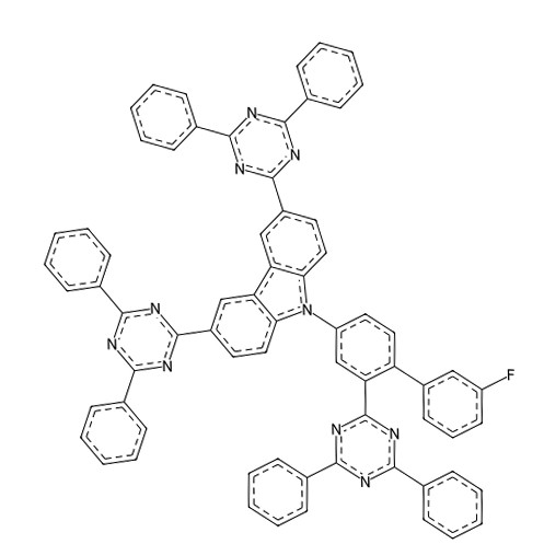 Fc1cccc(-c2ccc(-n3c4ccc(-c5nc(-c6ccccc6)nc(-c6ccccc6)n5)cc4c4cc(-c5nc(-c6ccccc6)nc(-c6ccccc6)n5)ccc43)cc2-c2nc(-c3ccccc3)nc(-c3ccccc3)n2)c1